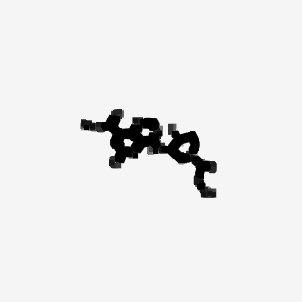 COC(=O)c1cc(Cl)nc2c(N[C@@H]3CN(C(=O)OC(C)(C)C)CC[C@@H]3F)ncnc12